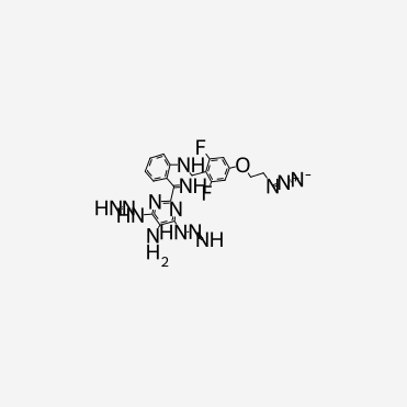 [N-]=[N+]=NCCOc1cc(F)c(CNc2ccccc2C(=N)c2nc(NN=N)c(N)c(NN=N)n2)c(F)c1